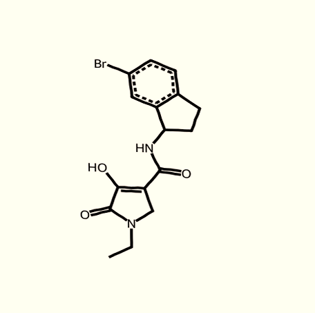 CCN1CC(C(=O)NC2CCc3ccc(Br)cc32)=C(O)C1=O